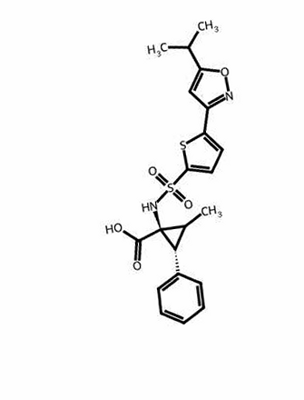 CC(C)c1cc(-c2ccc(S(=O)(=O)N[C@@]3(C(=O)O)C(C)[C@@H]3c3ccccc3)s2)no1